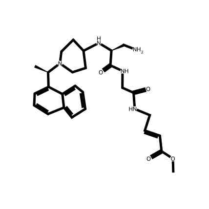 COC(=O)/C=C/CNC(=O)CNC(=O)[C@H](CN)NC1CCN([C@H](C)c2cccc3ccccc23)CC1